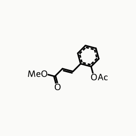 COC(=O)/C=C/c1ccccc1OC(C)=O